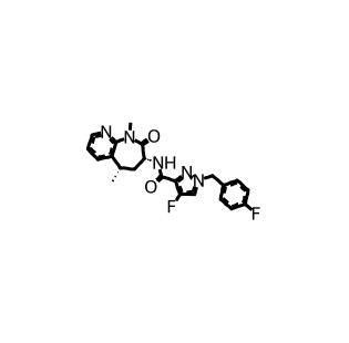 C[C@H]1C[C@@H](NC(=O)c2nn(Cc3ccc(F)cc3)cc2F)C(=O)N(C)c2ncccc21